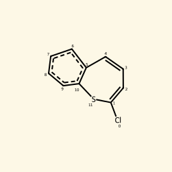 ClC1=CC=Cc2ccccc2S1